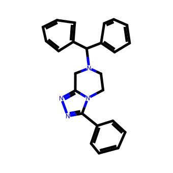 c1ccc(-c2nnc3n2CCN(C(c2ccccc2)c2ccccc2)C3)cc1